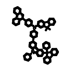 CC1(C)c2ccccc2-c2ccc(N(c3ccc(-c4ccc5c(c4)c4cc(C6(c7ccccc7)c7ccccc7-c7ccccc76)ccc4n5-c4ccccc4)cc3)c3ccc(-c4cc5ccccc5c5ccccc45)cc3)cc21